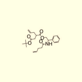 C=CCCC(=O)NC(COC(=O)C(CC=C)CC(=O)OC(C)(C)C)c1ccccc1